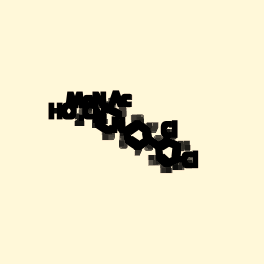 CNC1(C(C)=O)CN(c2ccc(-c3ccc(Cl)cc3Cl)cc2)CCN1C(=O)O